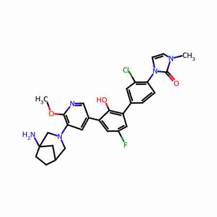 COc1ncc(-c2cc(F)cc(-c3ccc(-n4ccn(C)c4=O)c(Cl)c3)c2O)cc1N1CC2CCC(N)(C2)C1